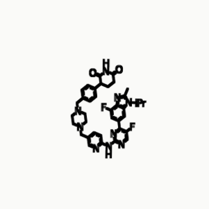 Cc1nc2c(F)cc(-c3nc(Nc4ccc(CN5CCN(Cc6ccc(C7CCC(=O)NC7=O)cc6)CC5)cn4)ncc3F)cc2n1C(C)C